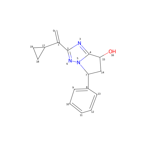 C=C(c1nc2n(n1)C(c1ccccc1)CC2O)C1CC1